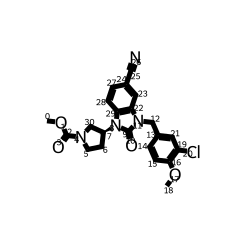 COC(=O)N1CC[C@H](n2c(=O)n(Cc3ccc(OC)c(Cl)c3)c3cc(C#N)ccc32)C1